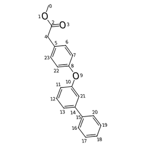 COC(=O)Cc1ccc(Oc2cccc(-c3ccccc3)c2)cc1